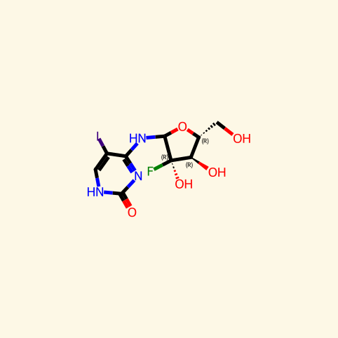 O=c1nc(NC2O[C@H](CO)[C@@H](O)[C@@]2(O)F)c(I)c[nH]1